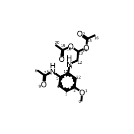 COc1ccc(NC(C)=O)c(NCC(OC(C)=O)OC(C)=O)c1